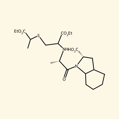 CCOC(=O)C(CSC(C)C(=O)OCC)N[C@@H](C)C(=O)N1C2CCCCC2C[C@H]1C(=O)O